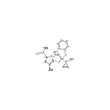 O=C(O)c1nc(S)n(CC(O)(Cc2ccccc2Cl)C2(Cl)CC2)n1